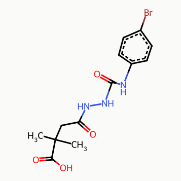 CC(C)(CC(=O)NNC(=O)Nc1ccc(Br)cc1)C(=O)O